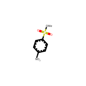 [C]OS(=O)(=O)c1ccc([N+](=O)[O-])cc1